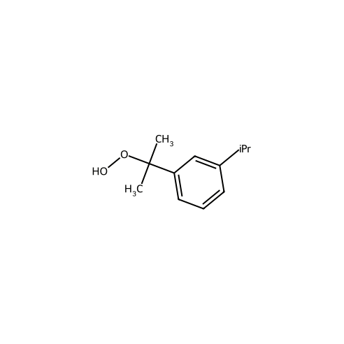 CC(C)c1cccc(C(C)(C)OO)c1